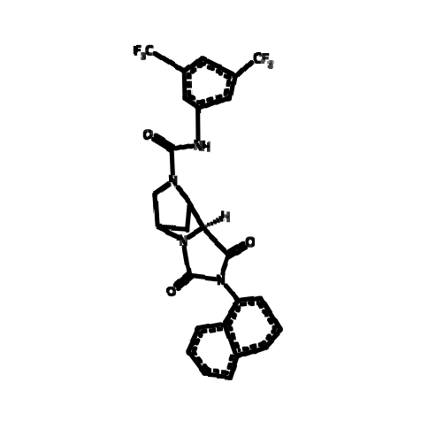 O=C1[C@@H]2C3CC(CN3C(=O)Nc3cc(C(F)(F)F)cc(C(F)(F)F)c3)N2C(=O)N1c1cccc2ccccc12